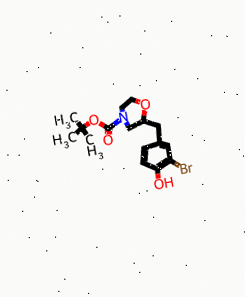 CC(C)(C)OC(=O)N1CCOC(Cc2ccc(O)c(Br)c2)C1